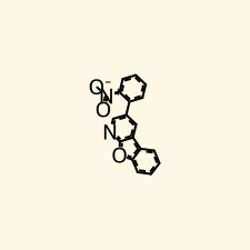 O=[N+]([O-])c1ccccc1-c1cnc2oc3ccccc3c2c1